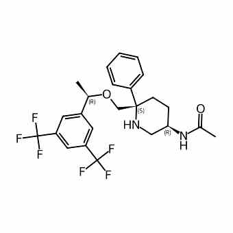 CC(=O)N[C@@H]1CC[C@@](CO[C@H](C)c2cc(C(F)(F)F)cc(C(F)(F)F)c2)(c2ccccc2)NC1